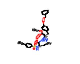 CC(C)C[C@H](NS(=O)(=O)c1ccc(C(C)(C)C)cc1)C(=O)N[C@@H](Cc1ccc(OCc2ccccc2)cc1)C(=O)OC(C)(C)C